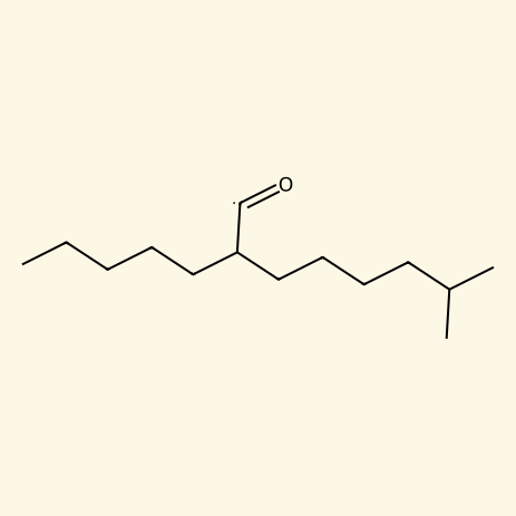 CCCCCC([C]=O)CCCCC(C)C